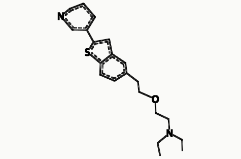 CCN(CC)CCOCCc1ccc2sc(-c3cccnc3)cc2c1